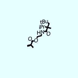 C=C(C)C(=O)OCCNC(=O)C(C)(CC(C)(C)C)C(C)C